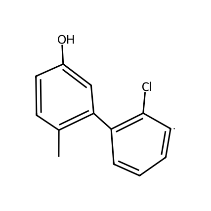 Cc1ccc(O)cc1-c1ccc[c]c1Cl